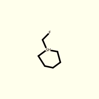 FC[SH]1CCCCC1